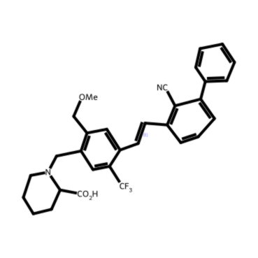 COCc1cc(/C=C/c2cccc(-c3ccccc3)c2C#N)c(C(F)(F)F)cc1CN1CCCCC1C(=O)O